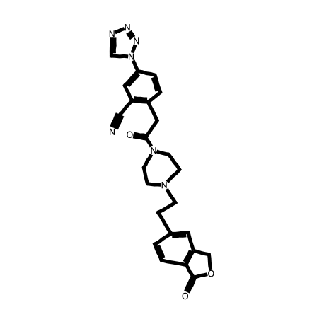 N#Cc1cc(-n2cnnn2)ccc1CC(=O)N1CCN(CCc2ccc3c(c2)COC3=O)CC1